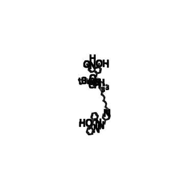 CC(C)(C)[Si](C)(C)O[C@@H](CNCCCCCCCCCN1CCC(Cn2cnc(C(O)(c3ccccc3)c3ccccc3)n2)CC1)c1ccc(O)c2[nH]c(=O)ccc12